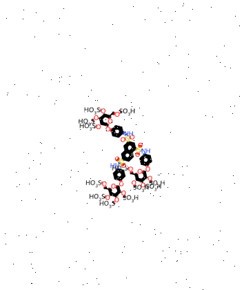 O=S(=O)(O)OC[C@H]1O[C@@H](Oc2ccc(NS(=O)(=O)c3ccc4c(S(=O)(=O)Nc5ccc(O[C@@H]6O[C@H](COS(=O)(=O)O)[C@@H](OS(=O)(=O)O)[C@H](OS(=O)(=O)O)[C@H]6OS(=O)(=O)O)cc5)cc(S(=O)(=O)Nc5ccc(O[C@@H]6O[C@H](COS(=O)(=O)O)[C@@H](OS(=O)(=O)O)[C@H](OS(=O)(=O)O)[C@H]6OS(=O)(=O)O)cc5)cc4c3)cc2)[C@H](OS(=O)(=O)O)[C@@H](OS(=O)(=O)O)[C@@H]1OS(=O)(=O)O